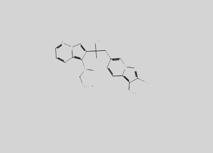 CNCN(C)c1c(C(C)(C)Cc2ccc3c(C(C)(C)C)c(C(C)(C)C)nn3c2)cn2ncccc12